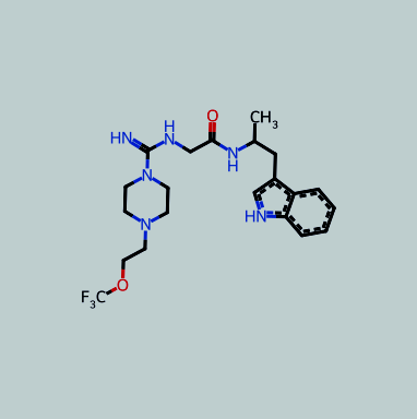 CC(Cc1c[nH]c2ccccc12)NC(=O)CNC(=N)N1CCN(CCOC(F)(F)F)CC1